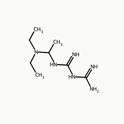 CCN(CC)C(C)NC(=N)NC(=N)N